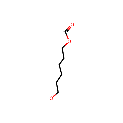 [O]CCCCCCO[C]=O